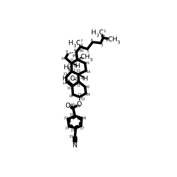 CC(C)CCC[C@@H](C)[C@H]1CC[C@H]2[C@@H]3CC=C4C[C@@H](OC(=O)c5ccc(C#N)cc5)CC[C@]4(C)[C@H]3CC[C@]12C